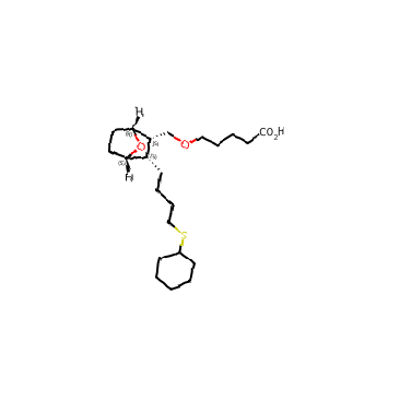 O=C(O)CCCCOC[C@@H]1[C@H](CCCCSC2CCCCC2)[C@@H]2CC[C@H]1O2